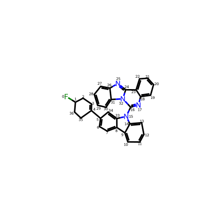 FC1CC=C(c2ccc3c4ccccc4n(-c4nc5ccccc5c5nc6ccccc6n45)c3c2)CC1